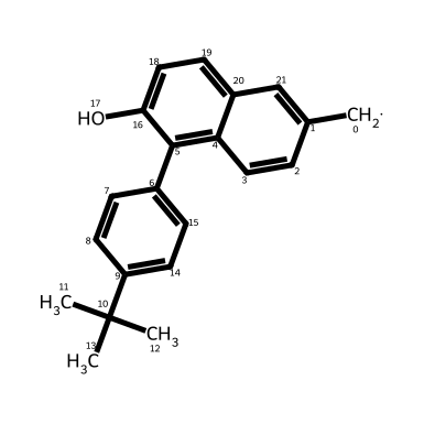 [CH2]c1ccc2c(-c3ccc(C(C)(C)C)cc3)c(O)ccc2c1